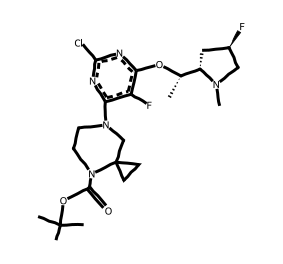 C[C@H](Oc1nc(Cl)nc(N2CCN(C(=O)OC(C)(C)C)C3(CC3)C2)c1F)[C@@H]1C[C@@H](F)CN1C